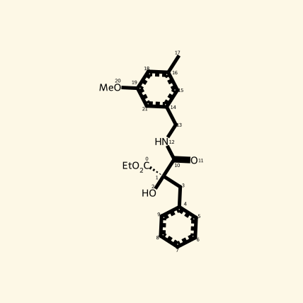 CCOC(=O)[C@@](O)(Cc1ccccc1)C(=O)NCc1cc(C)cc(OC)c1